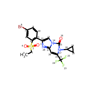 CCS(=O)(=O)c1cc(Br)ccc1-c1cn2c(=O)n(C3CC3)c(C(F)(F)F)cc2n1